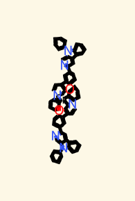 c1ccc(-n2c3ccccc3c3cc(-c4ccc5oc6c([Si](c7ccccc7)(c7ccccc7)c7nccc8c7oc7ccc(-c9cc%10c%11ccccc%11n(-c%11ccccc%11)c%10cn9)cc78)nccc6c5c4)ncc32)cc1